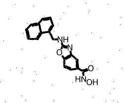 O=C(NO)c1ccc2oc(NCc3cccc4ccccc34)nc2c1